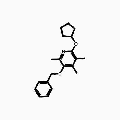 Cc1nc(OC2CCCC2)c(C)c(C)c1OCc1ccccc1